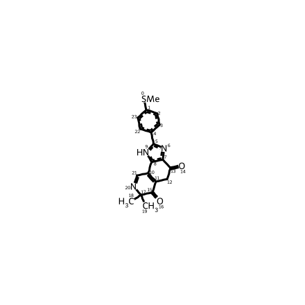 CSc1ccc(-c2nc3c([nH]2)C2=C(CC3=O)C(=O)C(C)(C)N=C2)cc1